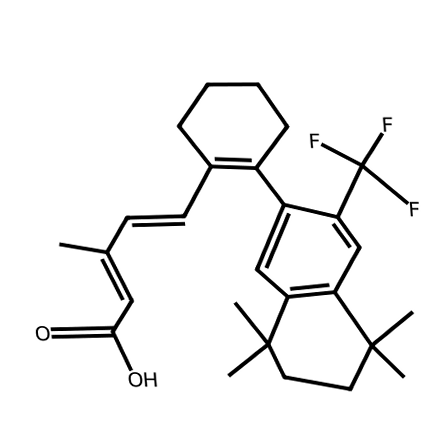 CC(C=CC1=C(c2cc3c(cc2C(F)(F)F)C(C)(C)CCC3(C)C)CCCC1)=CC(=O)O